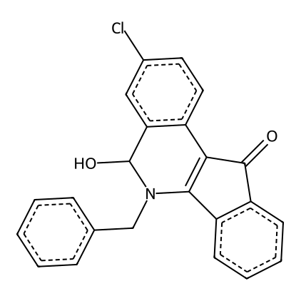 O=C1C2=C(c3ccccc31)N(Cc1ccccc1)C(O)c1cc(Cl)ccc12